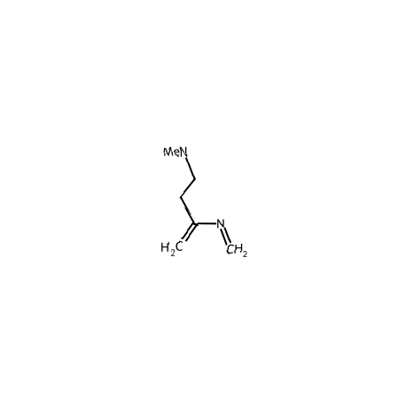 C=NC(=C)CCNC